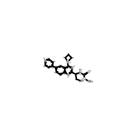 CC(C)CC(NC(=O)OC(C)(C)C)c1nc(N2CCC2)c2cc(-c3ccncc3)ccc2n1